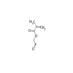 C=C(C)C(=O)OCP=O